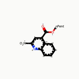 CCCCCOC(=O)c1cc([N+](=O)[O-])nc2ccccc12